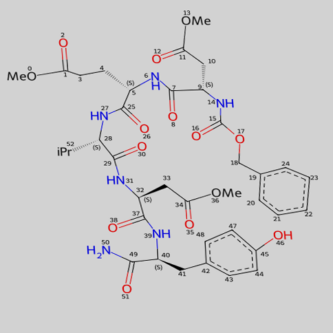 COC(=O)CC[C@H](NC(=O)[C@H](CC(=O)OC)NC(=O)OCc1ccccc1)C(=O)N[C@H](C(=O)N[C@@H](CC(=O)OC)C(=O)N[C@@H](Cc1ccc(O)cc1)C(N)=O)C(C)C